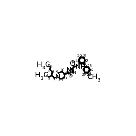 CCCCC(CC)CN1CCC(c2nc(C(=O)Nc3ccccc3-c3ccc(C)cc3)cs2)CC1